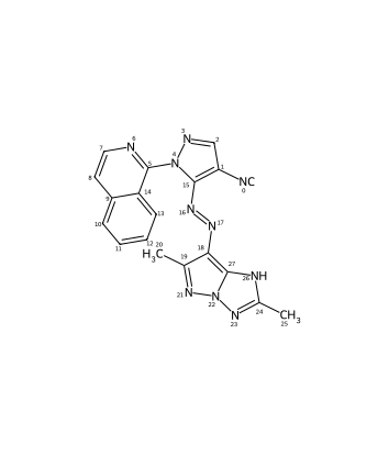 [C-]#[N+]c1cnn(-c2nccc3ccccc23)c1/N=N/c1c(C)nn2nc(C)[nH]c12